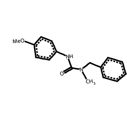 COc1ccc(NC(=O)N(C)Cc2ccccc2)cc1